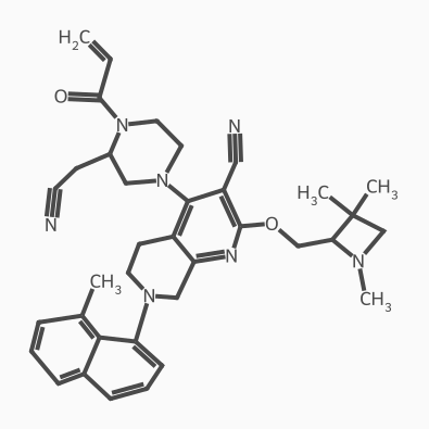 C=CC(=O)N1CCN(c2c(C#N)c(OCC3N(C)CC3(C)C)nc3c2CCN(c2cccc4cccc(C)c24)C3)CC1CC#N